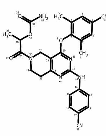 Cc1cc(C#N)cc(C)c1Oc1nc(Nc2ccc(C#N)cc2)nc2c1CN(C(=O)C(C)OC(N)=O)CC2